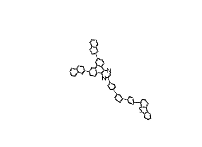 c1cc(-c2ccc(-c3cnc4c5ccc(-c6ccc7ccccc7c6)cc5c5cc(-c6ccc7ccccc7c6)ccc5c4n3)cc2)cc(-c2ccc(-c3cccc4c3sc3ccccc34)cc2)c1